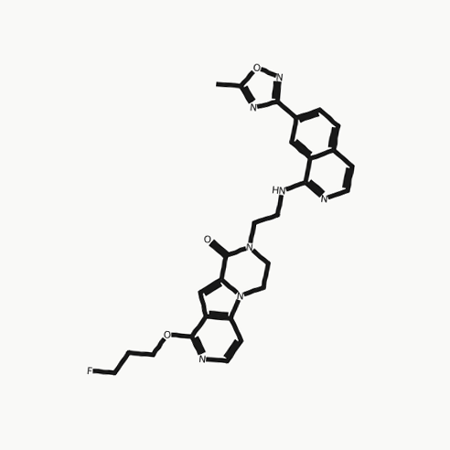 Cc1nc(-c2ccc3ccnc(NCCN4CCn5c(cc6c(OCCCF)nccc65)C4=O)c3c2)no1